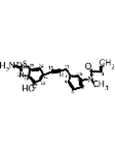 C=CC(=O)N(C)c1cccc(CC#Cc2cc(O)c3nc(N)sc3c2)c1